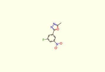 Cc1nnc(-c2cc(F)cc([N+](=O)[O-])c2)o1